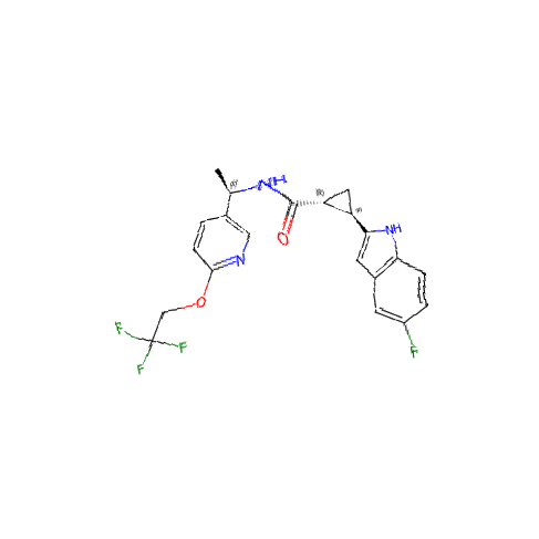 C[C@@H](NC(=O)[C@@H]1C[C@H]1c1cc2cc(F)ccc2[nH]1)c1ccc(OCC(F)(F)F)nc1